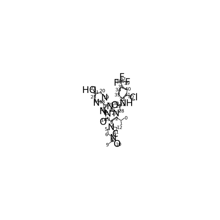 CCc1c(N2CCN(C(C)=O)CC2)c(=O)n2nc(-c3ncc(O)cn3)nc2n1CC(=O)Nc1ccc(C(F)(F)F)cc1Cl